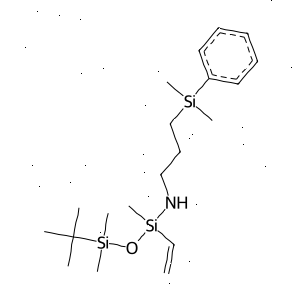 C=C[Si](C)(NCCC[Si](C)(C)c1ccccc1)O[Si](C)(C)C(C)(C)C